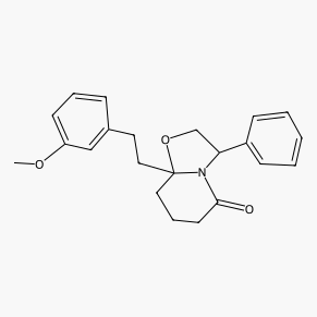 COc1cccc(CCC23CCCC(=O)N2C(c2ccccc2)CO3)c1